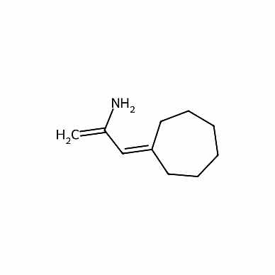 C=C(N)C=C1CCCCCC1